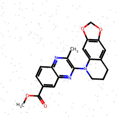 COC(=O)c1ccc2nc(C)c(N3CCCc4cc5c(cc43)OCO5)nc2c1